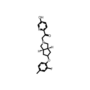 Cc1ccc(OC2C[C@@H]3CN(CC(=O)c4ccc(O)cn4)C[C@@H]3C2)c(F)c1